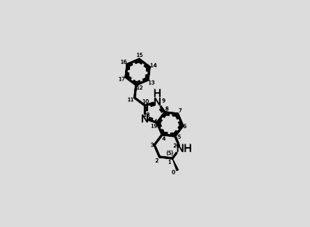 C[C@H]1CCc2c(ccc3[nH]c(Cc4ccccc4)nc23)N1